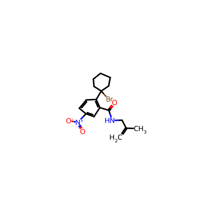 C=C(C)CNC(=O)c1cc([N+](=O)[O-])ccc1C1(Br)CCCCC1